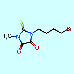 CN1C(=O)C(=O)N(CCCCBr)C1=S